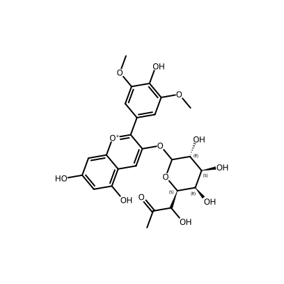 COc1cc(-c2[o+]c3cc(O)cc(O)c3cc2OC2O[C@H](C(O)C(C)=O)[C@H](O)[C@H](O)[C@H]2O)cc(OC)c1O